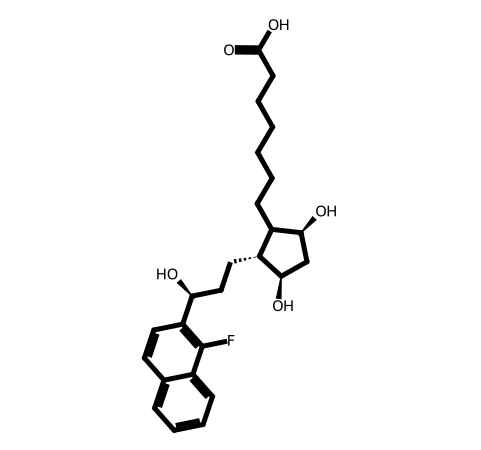 O=C(O)CCCCCCC1[C@@H](CC[C@H](O)c2ccc3ccccc3c2F)[C@H](O)C[C@@H]1O